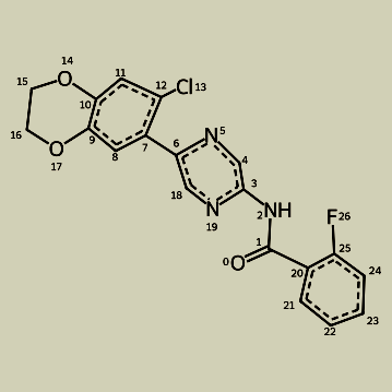 O=C(Nc1cnc(-c2cc3c(cc2Cl)OCCO3)cn1)c1ccccc1F